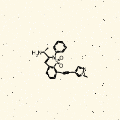 C[C@H](N)C1=Cc2cccc(C#Cc3cnn(C)c3)c2S(=O)(=O)N1c1ccccc1